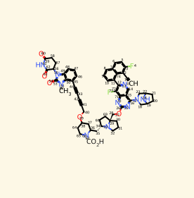 C#Cc1c(F)ccc2cccc(-c3ncc4c(N5CC6CCC(C5)N6)nc(OC[C@@]56CCCN5[C@H](CC5CC(OCC#CC#Cc7cccc8c7n(C)c(=O)n8C7CCC(=O)NC7=O)CCN5C(=O)O)CC6)nc4c3F)c12